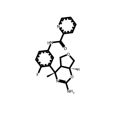 C[C@]1(c2cc(NC(=O)c3ccccn3)ccc2F)N=C(N)O[C@@H]2COCC21